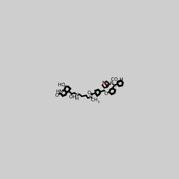 CN(CCCCNCC(O)c1ccc(O)c2[nH]c(=O)ccc12)C(=O)c1ccc(COc2cccc([C@H](c3ccccc3)N(C(=O)O)C3CN4CCC3CC4)c2)cc1